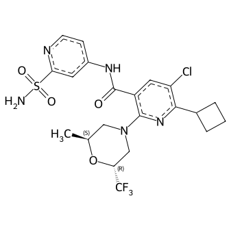 C[C@H]1CN(c2nc(C3CCC3)c(Cl)cc2C(=O)Nc2ccnc(S(N)(=O)=O)c2)C[C@H](C(F)(F)F)O1